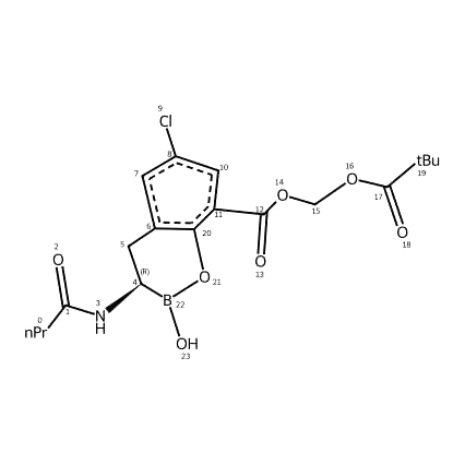 CCCC(=O)N[C@H]1Cc2cc(Cl)cc(C(=O)OCOC(=O)C(C)(C)C)c2OB1O